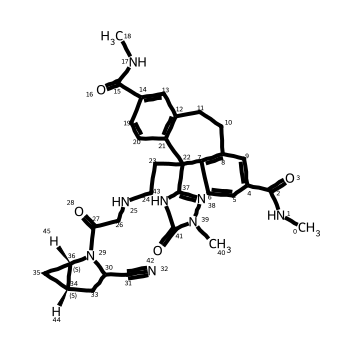 CNC(=O)c1ccc2c(c1)CCc1cc(C(=O)NC)ccc1C2(CCNCC(=O)N1C(C#N)C[C@@H]2C[C@@H]21)c1nn(C)c(=O)[nH]1